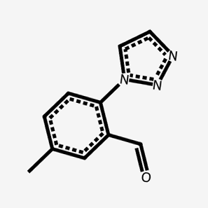 Cc1ccc(-n2ccnn2)c(C=O)c1